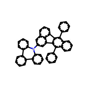 c1ccc(-c2c3c(c(-c4ccccc4)c4ccccc24)-c2cc(N4c5ccccc5-c5ccccc5-c5ccccc54)cc4cccc-3c24)cc1